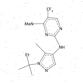 [CH2]C(C)([CH]C)n1ncc(Nc2ncc(C(F)(F)F)c(NC)n2)c1C